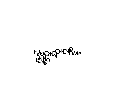 COC(=O)N1CCN(c2ccc3c(c2)N=CN(c2ccc(OC(F)(F)F)c(NC(=O)C4(N5CCOCC5)CC4)c2)C3)CC1